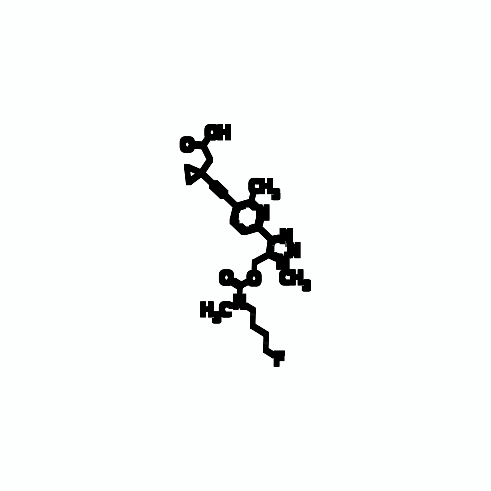 Cc1nc(-c2nnn(C)c2COC(=O)N(C)CCCCF)ccc1C#CC1(CC(=O)O)CC1